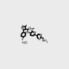 COc1nc(-c2cnc(CN)nc2)ccc1NC(=O)c1c(-c2ccc(F)cc2)noc1C.Cl